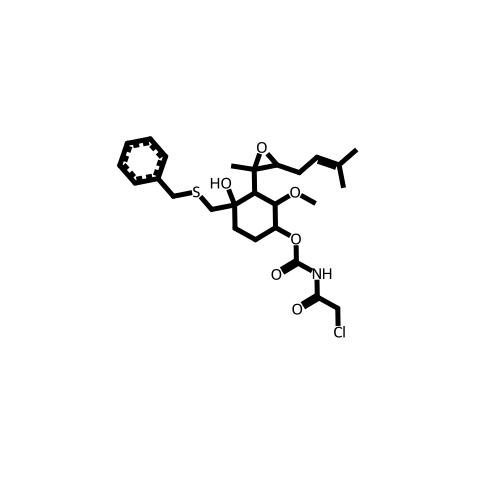 COC1C(OC(=O)NC(=O)CCl)CCC(O)(CSCc2ccccc2)C1C1(C)OC1CC=C(C)C